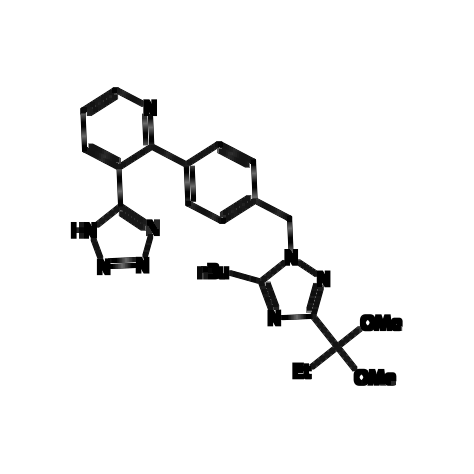 CCCCc1nc(C(CC)(OC)OC)nn1Cc1ccc(-c2ncccc2-c2nnn[nH]2)cc1